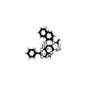 CC(=O)O[C@@H]1[C@@H](Oc2c(C)ccc3ccccc23)[C@@H]2OC(c3ccccc3)OC[C@H]2O[C@H]1S